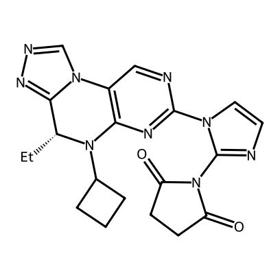 CC[C@@H]1c2nncn2-c2cnc(-n3ccnc3N3C(=O)CCC3=O)nc2N1C1CCC1